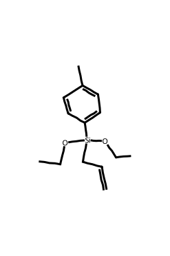 C=CC[Si](OCC)(OCC)c1ccc(C)cc1